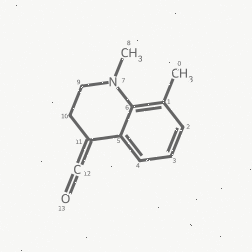 Cc1cccc2c1N(C)CCC2=C=O